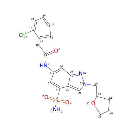 NS(=O)(=O)c1cc(NC(=O)Cc2ccccc2Cl)cc2nn(CC3CCCO3)cc12